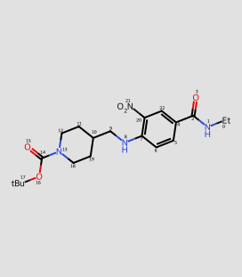 CCNC(=O)c1ccc(NCC2CCN(C(=O)OC(C)(C)C)CC2)c([N+](=O)[O-])c1